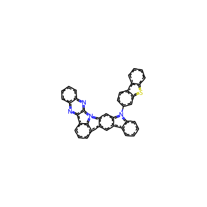 c1ccc2nc3c(nc2c1)c1cccc2c4cc5c6ccccc6n(-c6ccc7c(c6)sc6ccccc67)c5cc4n3c21